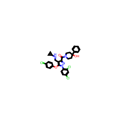 O=C(c1nn(-c2ccc(Cl)cc2Cl)c(Oc2ccc(Cl)cc2)c1CNC1CC1)N1CCC(O)(c2ccccc2)CC1